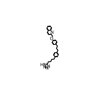 c1ccc2nc(COc3ccc(CCCc4ccc(CCCCc5nnn[nH]5)cc4)cc3)ccc2c1